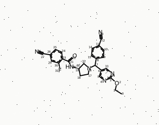 CCOc1ncc(C(c2ccc(C#N)cc2)N2CC[C@@H](NC(=O)c3ccc(C#N)cc3F)C2)cn1